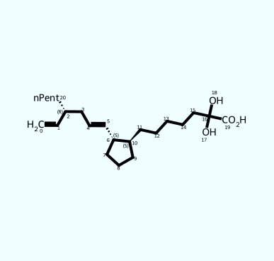 C=C[C@@H](CC=C[C@H]1CCC[C@@H]1CCCCCC(O)(O)C(=O)O)CCCCC